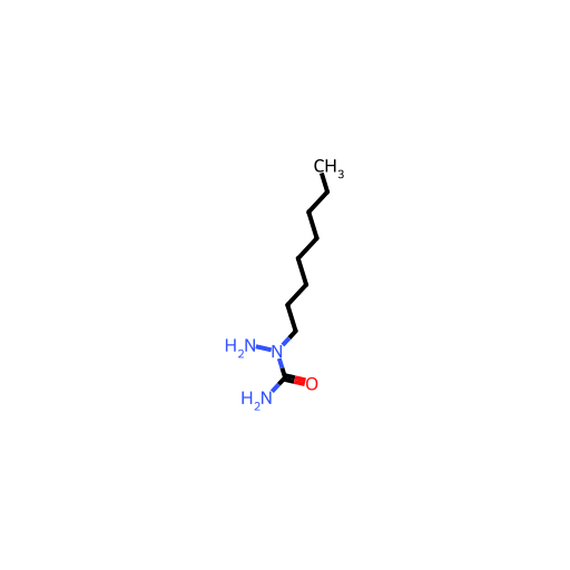 CCCCCCCCN(N)C(N)=O